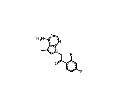 Cc1cn(CC(=O)c2ccc(F)cc2Br)c2ncnc(N)c12